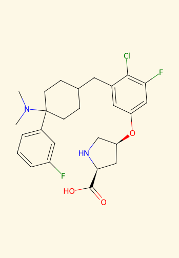 CN(C)C1(c2cccc(F)c2)CCC(Cc2cc(O[C@@H]3CN[C@H](C(=O)O)C3)cc(F)c2Cl)CC1